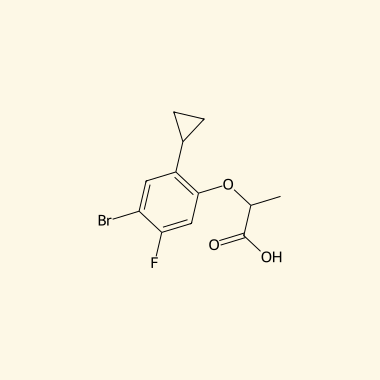 CC(Oc1cc(F)c(Br)cc1C1CC1)C(=O)O